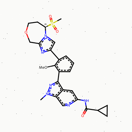 COc1c(-c2cn3c(n2)COCC[C@H]3S(C)(=O)=O)cccc1-c1nn(C)c2cnc(NC(=O)C3CC3)cc12